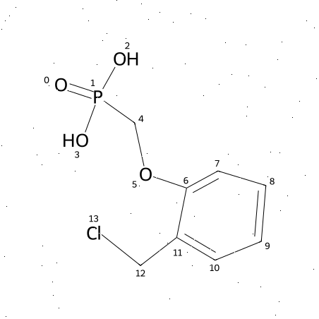 O=P(O)(O)COc1ccccc1CCl